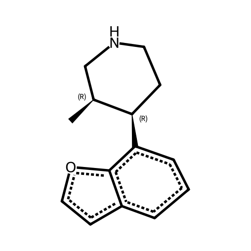 C[C@H]1CNCC[C@H]1c1cccc2ccoc12